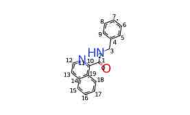 O=C(NCc1cc[c]cc1)c1nccc2ccccc12